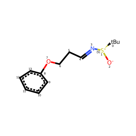 CC(C)(C)[S@@+]([O-])N=CCCOc1ccccc1